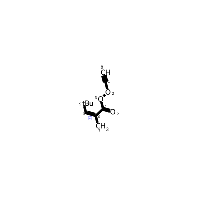 C#COOC(=O)/C(C)=C\C(C)(C)C